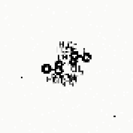 COc1c(C(C)(C)C)cc2c(c1-c1ccccc1)C=C(C)[CH]2[Zr+2][CH]1C(C)=Cc2c(-c3ccccc3)cc(C(C)(C)C)cc21.[Cl-].[Cl-]